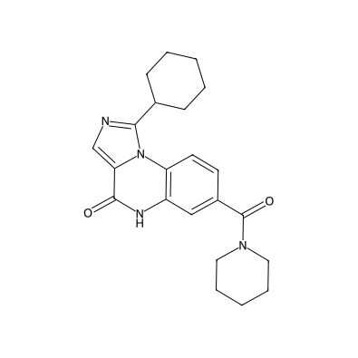 O=C(c1ccc2c(c1)[nH]c(=O)c1cnc(C3CCCCC3)n12)N1CCCCC1